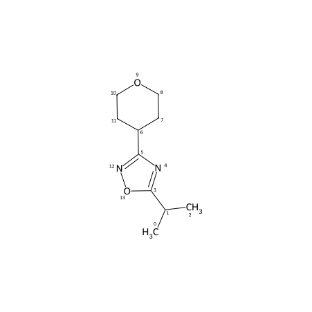 CC(C)c1nc(C2CCOCC2)no1